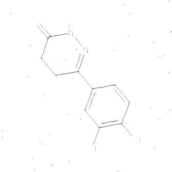 Cc1cc(C2=NNC(=O)CC2)ccc1Cl